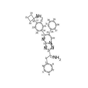 NC(Cc1ccccc1)c1nc2nc(-c3ccc(C4(N)CCC4)cc3)c(-c3ccccc3)cn2n1